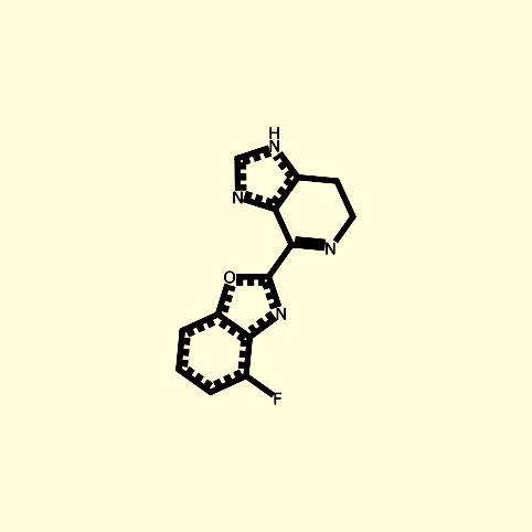 Fc1cccc2oc(C3=NCCc4[nH]cnc43)nc12